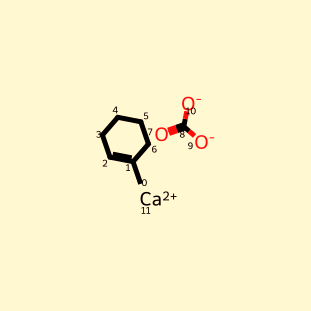 CC1=CCCCC1.O=C([O-])[O-].[Ca+2]